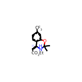 CCOC(=O)/C=C1\NC(C)(C)Oc2cc(C(F)(F)F)ccc21